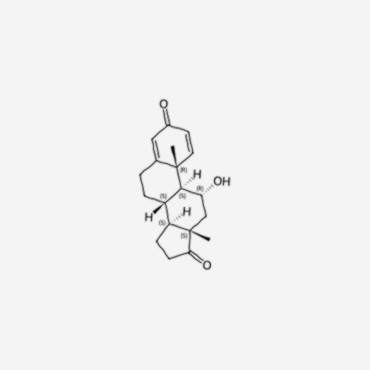 C[C@]12C=CC(=O)C=C1CC[C@@H]1[C@@H]2[C@H](O)C[C@]2(C)C(=O)CC[C@@H]12